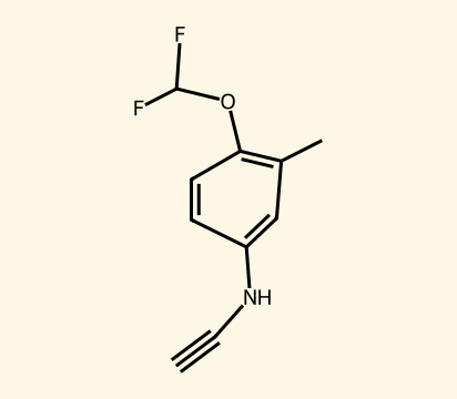 C#CNc1ccc(OC(F)F)c(C)c1